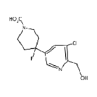 O=C(O)N1CCC(F)(c2cnc(CO)c(Cl)c2)CC1